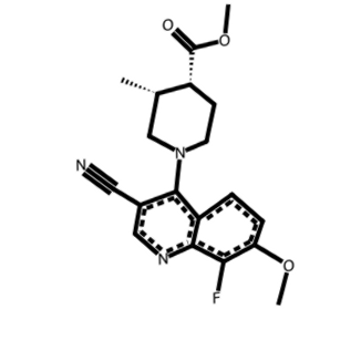 COC(=O)[C@@H]1CCN(c2c(C#N)cnc3c(F)c(OC)ccc23)C[C@@H]1C